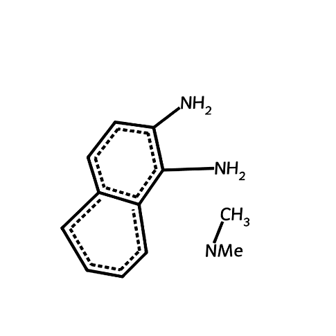 CNC.Nc1ccc2ccccc2c1N